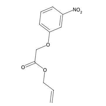 C=CCOC(=O)COc1cccc([N+](=O)[O-])c1